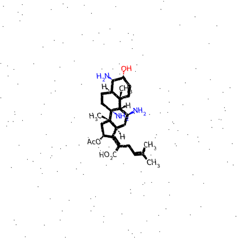 CC(=O)O[C@H]1C[C@@]2(C)[C@@H](C[C@H](N)[C@H]3[C@@]4(C)CC[C@@H](O)[C@@H](N)[C@@H]4CC[C@@]32N)/C1=C(\CC=C(C)C)C(=O)O